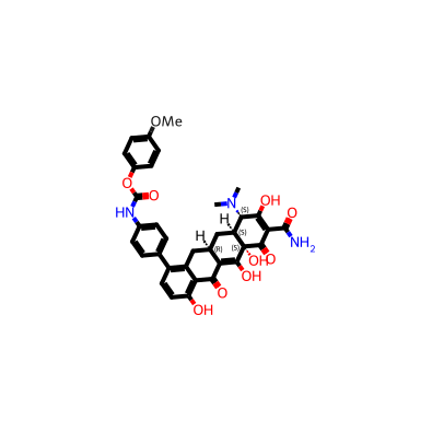 COc1ccc(OC(=O)Nc2ccc(-c3ccc(O)c4c3C[C@H]3C[C@H]5[C@H](N(C)C)C(O)=C(C(N)=O)C(=O)[C@@]5(O)C(O)=C3C4=O)cc2)cc1